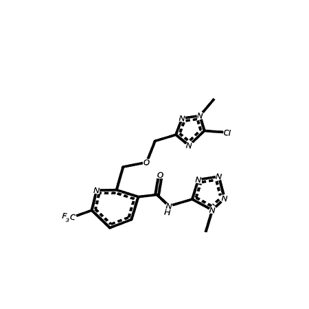 Cn1nc(COCc2nc(C(F)(F)F)ccc2C(=O)Nc2nnnn2C)nc1Cl